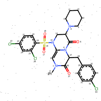 CC(C)N1C=C2N(C(=O)C(N3CCCCC3)CN2S(=O)(=O)c2ccc(Cl)cc2Cl)C(Cc2ccc(Cl)cc2)C1=O